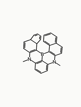 CN1C2=C(B3c4c1cccc4N(C)c1ccc4ccccc4c13)C1C=CC=CC1C=C2